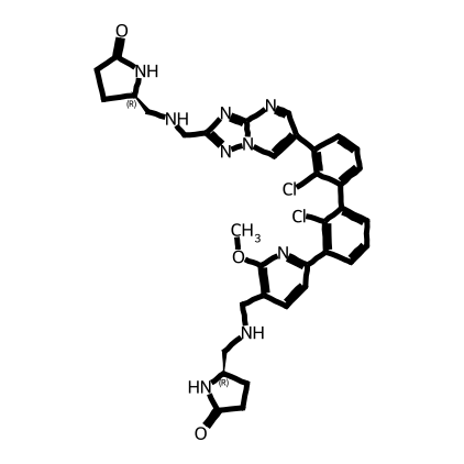 COc1nc(-c2cccc(-c3cccc(-c4cnc5nc(CNC[C@H]6CCC(=O)N6)nn5c4)c3Cl)c2Cl)ccc1CNC[C@H]1CCC(=O)N1